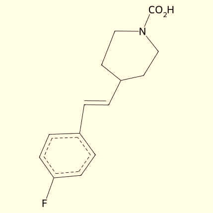 O=C(O)N1CCC(C=Cc2ccc(F)cc2)CC1